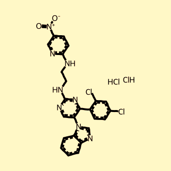 Cl.Cl.O=[N+]([O-])c1ccc(NCCNc2ncc(-n3cnc4ccccc43)c(-c3ccc(Cl)cc3Cl)n2)nc1